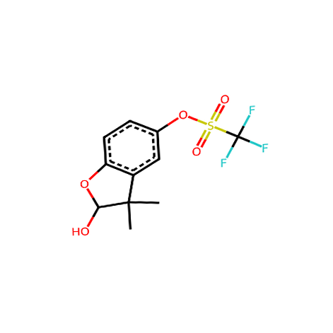 CC1(C)c2cc(OS(=O)(=O)C(F)(F)F)ccc2OC1O